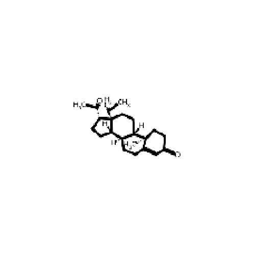 C=C(C)[C@]12CC[C@H]3[C@@H](CCC4=CC(=O)CC[C@@]43C)[C@@H]1CC[C@@H]2C(C)=O